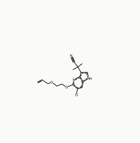 C=CCOCCOc1nc2c(C(C)(C)C#N)c[nH]c2cc1Cl